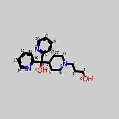 OCCCN1CCC(C(O)(c2ccccn2)c2ccccn2)CC1